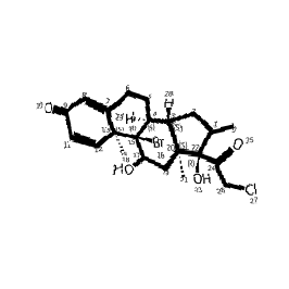 CC1C[C@H]2[C@@H]3CCC4=CC(=O)C=C[C@]4(C)[C@@]3(Br)C(O)C[C@]2(C)[C@@]1(O)C(=O)CCl